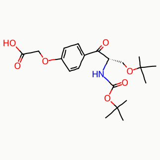 CC(C)(C)OC[C@H](NC(=O)OC(C)(C)C)C(=O)c1ccc(OCC(=O)O)cc1